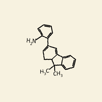 CC1(C)c2ccccc2C2=CC(c3ccccc3N)=CCC21